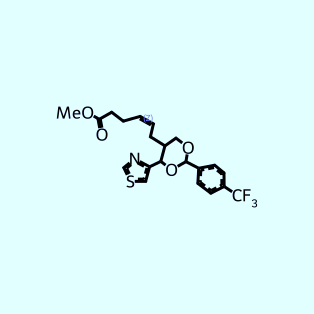 COC(=O)CC/C=C\CC1COC(c2ccc(C(F)(F)F)cc2)OC1c1cscn1